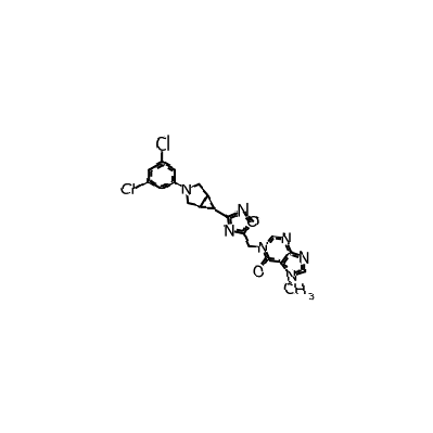 Cn1cnc2ncn(Cc3nc(C4C5CN(c6cc(Cl)cc(Cl)c6)CC54)no3)c(=O)c21